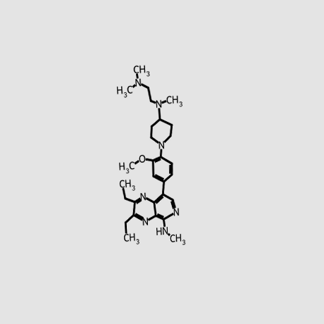 CCc1nc2c(-c3ccc(N4CCC(N(C)CCN(C)C)CC4)c(OC)c3)cnc(NC)c2nc1CC